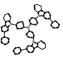 C1=Cc2c(c3ccc(-c4ccccc4)cc3n2-c2ccc(N(c3ccc(-n4c5c(c6ccc(-c7ccccc7)cc64)CCC=C5)cc3)c3ccc(-n4c5c(c6ccc(-c7ccccc7)cc64)CCC=C5)cc3)cc2)CC1